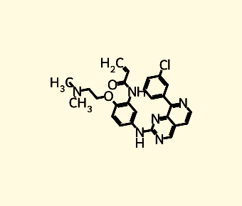 C=CC(=O)Nc1cc(Nc2ncc3ccnc(-c4cccc(Cl)c4)c3n2)ccc1OCCN(C)C